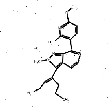 CC/C=C(\CCC)c1c2cccc(-c3ccc(OC)nc3C)c2nn1C.Cl